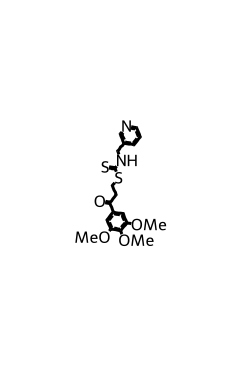 COc1cc(C(=O)CCSC(=S)NCc2cccnc2)cc(OC)c1OC